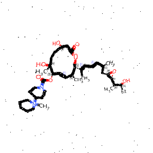 CC[C@H](O)[C@@H](C)[C@H]1O[C@@H]1C[C@H](C)/C=C/C=C(\C)[C@H]1OC(=O)C[C@H](O)CC[C@@](C)(O)[C@@H](OC(=O)N2CCC([N+]3(C)CCCCC3)CC2)/C=C/[C@@H]1C